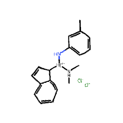 Cc1cccc([NH][Hf+2]([CH]2C=Cc3ccccc32)[SiH](C)C)c1.[Cl-].[Cl-]